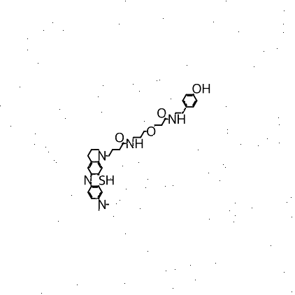 CN(C)c1ccc2c(c1)[SH]=c1cc3c(cc1=N2)CCCN3CCCC(=O)NCCCOCCC(=O)NCCc1ccc(O)cc1